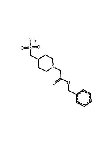 NS(=O)(=O)CC1CCN(CC(=O)OCc2ccccc2)CC1